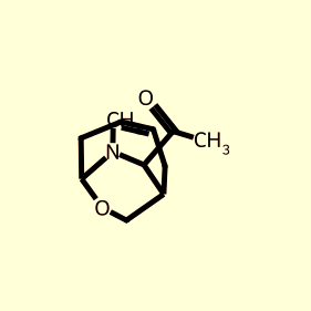 CC(=O)C1C2C/C=C\CC(OC2)N1C